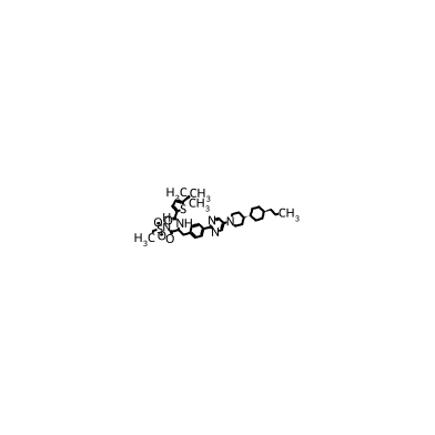 CCC[C@H]1CC[C@H](C2CCN(c3cnc(-c4ccc(CC(NC(=O)c5ccc(C(C)(C)C)s5)C(=O)NS(=O)(=O)CC)cc4)nc3)CC2)CC1